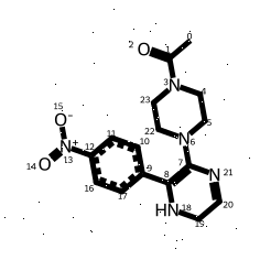 CC(=O)N1CCN(C2=C(c3ccc([N+](=O)[O-])cc3)NCC=N2)CC1